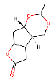 CC1OC[C@H]2C3CC(=O)OC3C[C@@H]2O1